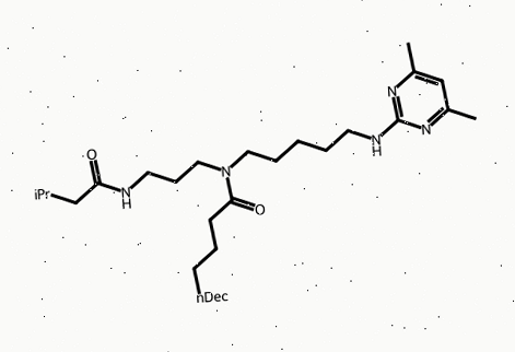 CCCCCCCCCCCCCC(=O)N(CCCCCNc1nc(C)cc(C)n1)CCCNC(=O)CC(C)C